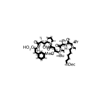 CCCCCCCCCCCCCCCN(C)[C@H](C(=O)N[C@H](C(=O)N(C)[C@@H]([C@@H](C)CC)[C@@H](CC(=O)N1CCC[C@H]1[C@H](OC)[C@@H](C)C(=O)N[C@@H](Cc1ccccc1)C(=O)O)OC)C(C)C)C(C)C